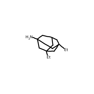 CCC12CC3CC(N)(C1)CC(CC)(C3)C2